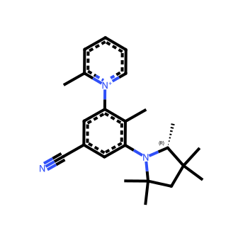 Cc1c(N2[C@H](C)C(C)(C)CC2(C)C)cc(C#N)cc1-[n+]1ccccc1C